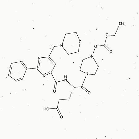 CCOC(=O)ON1CCN(C(=O)[C@H](CCC(=O)O)NC(=O)c2cc(CN3CCOCC3)nc(-c3ccccc3)n2)CC1